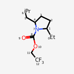 CCC1CCC(CC(C)C)N1C(=O)OCC(F)(F)F